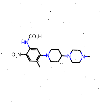 Cc1cc([N+](=O)[O-])c(NC(=O)O)cc1N1CCC(N2CCN(C)CC2)CC1